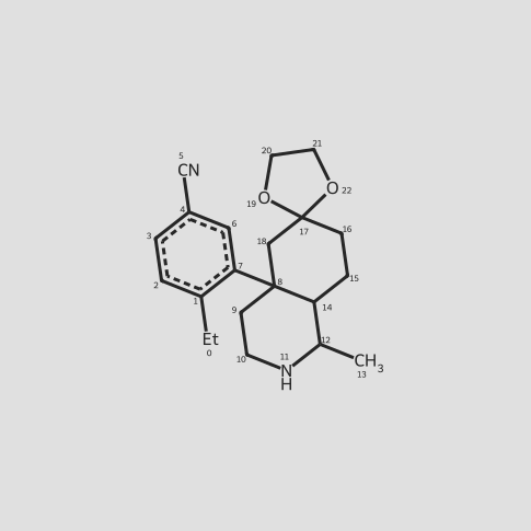 CCc1ccc(C#N)cc1C12CCNC(C)C1CCC1(C2)OCCO1